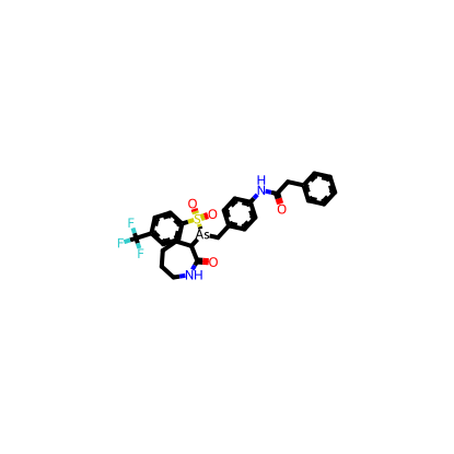 O=C(Cc1ccccc1)Nc1ccc(C[As](C2CCCCNC2=O)S(=O)(=O)c2ccc(C(F)(F)F)cc2)cc1